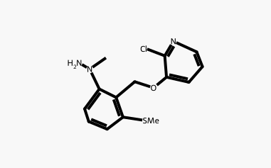 CSc1cccc(N(C)N)c1COc1cccnc1Cl